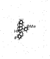 COc1cccc([C@H]2c3nc(-c4cc(F)ccc4F)[nH]c3OC(=O)[C@H]2Cc2ccccc2)c1